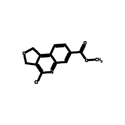 COC(=O)c1ccc2c3c(c(Cl)nc2c1)COC3